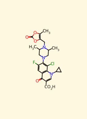 Cc1oc(=O)oc1CN1C(C)CN(c2c(F)cc3c(=O)c(C(=O)O)cn(C4CC4)c3c2Cl)CC1C